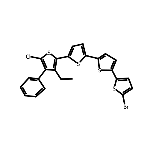 CCc1c(-c2ccc(-c3ccc(-c4ccc(Br)s4)s3)s2)sc(Cl)c1-c1ccccc1